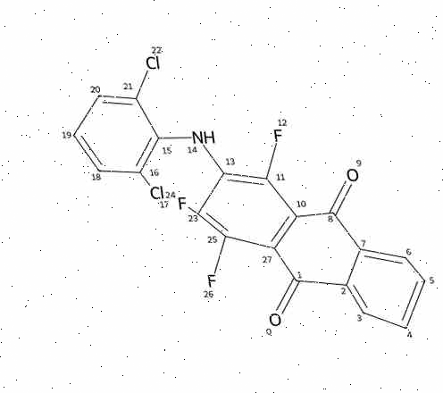 O=C1c2ccccc2C(=O)c2c(F)c(Nc3c(Cl)cccc3Cl)c(F)c(F)c21